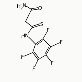 NC(=O)CC(=S)Nc1c(F)c(F)c(F)c(F)c1F